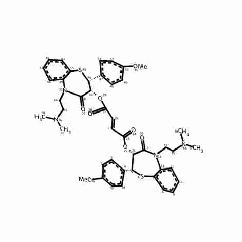 COc1ccc([C@H]2Sc3ccccc3N(CCN(C)C)C(=O)[C@H]2OC(=O)/C=C/C(=O)O[C@@H]2C(=O)N(CCN(C)C)c3ccccc3S[C@@H]2c2ccc(OC)cc2)cc1